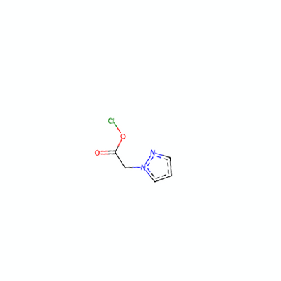 O=C(Cn1cccn1)OCl